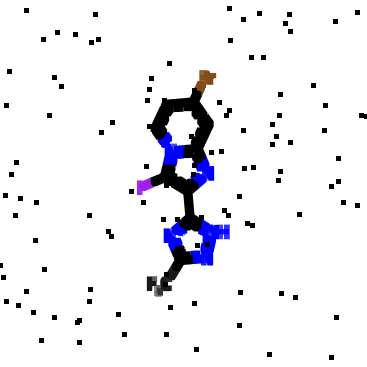 FC(F)(F)c1n[nH]c(-c2nc3cc(Br)ccn3c2I)n1